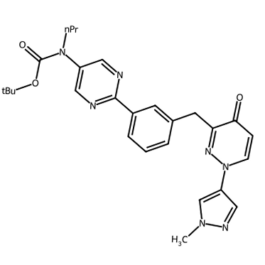 CCCN(C(=O)OC(C)(C)C)c1cnc(-c2cccc(Cc3nn(-c4cnn(C)c4)ccc3=O)c2)nc1